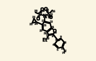 [CH2]Cc1c(-c2ccc(F)cc2)oc2cc(N(S(C)(=O)=O)S(C)(=O)=O)c(C3CC3)cc12